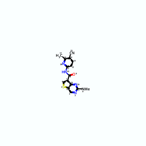 CNc1ncc2scc(C(=O)Nc3ccc(C#N)c(C)n3)c2n1